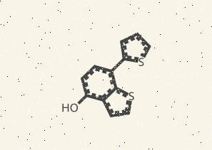 Oc1ccc(-c2cccs2)c2sccc12